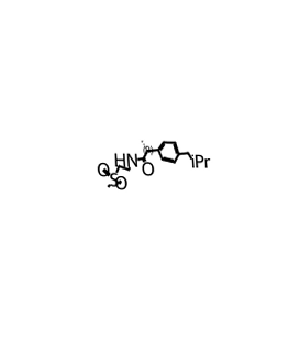 CC(C)Cc1ccc([C@@H](C)C(=O)NCCS(C)(=O)=O)cc1